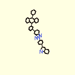 c1ccc(-c2c3ccccc3c(-c3cccc(-c4ccc5nn(-c6ccc(-c7cnc8ccccc8c7)cc6)nc5c4)c3)c3ccccc23)cc1